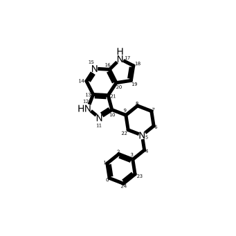 c1ccc(CN2CCCC(c3n[nH]c4cnc5[nH]ccc5c34)C2)cc1